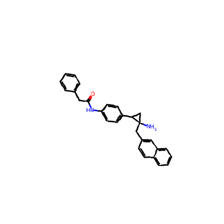 NC1(Cc2ccc3ccccc3c2)CC1c1ccc(NC(=O)Cc2ccccc2)cc1